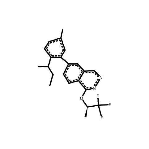 CCC(C)c1ccc(C)cc1-c1ccc2c(O[C@H](C)C(F)(F)F)nncc2c1